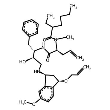 C=CCO[C@@H]1C[C@H](NC[C@@H](O)[C@H](Cc2ccccc2)NC(=O)[C@H](CC=C)N(C)C(=O)C(CC)CCCC)c2cc(OC)ccc21